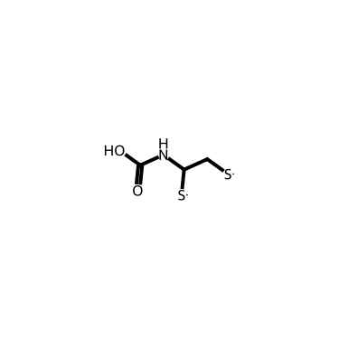 O=C(O)NC([S])C[S]